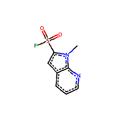 Cn1c(S(=O)(=O)F)cc2cccnc21